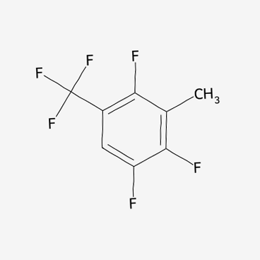 Cc1c(F)c(F)cc(C(F)(F)F)c1F